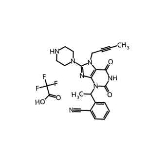 CC#CCn1c(N2CCNCC2)nc2c1c(=O)[nH]c(=O)n2C(C)c1ccccc1C#N.O=C(O)C(F)(F)F